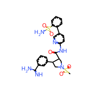 CS(=O)(=O)N1CC(C(=O)Nc2ccc(-c3ccccc3S(N)(=O)=O)cn2)C(c2cccc(C(=N)N)c2)C1